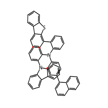 c1ccc(N(c2ccc(-c3cccc4ccccc34)cc2)c2ccccc2-n2c3ccccc3c3ccccc32)c(-c2cccc3c2sc2ccccc23)c1